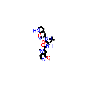 COc1nccc2c1cc(C(=O)N[C@@H](CC(C)(C)C)C(=O)N[C@H](C#N)C[C@@H]1CCCNC1=O)n2C